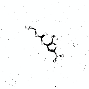 CCOC(=O)Oc1cc([N+](=O)[O-])sc1N